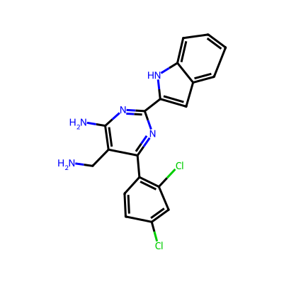 NCc1c(N)nc(-c2cc3ccccc3[nH]2)nc1-c1ccc(Cl)cc1Cl